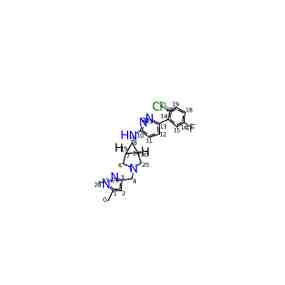 Cc1cc(CN2C[C@H]3C(Nc4ccc(-c5cc(F)ccc5Cl)nn4)[C@@H]3C2)nn1C